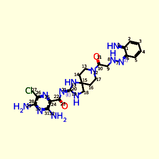 N=C1C=CC=C/C1=N/NCC(=O)N1CCC2(CC1)CN/C(=N\C(=O)c1nc(Cl)c(N)nc1N)N2